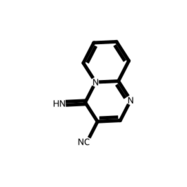 N#Cc1cnc2ccccn2c1=N